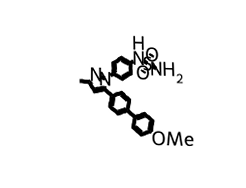 COc1ccc(-c2ccc(-c3cc(C)nn3-c3ccc(NS(N)(=O)=O)cc3)cc2)cc1